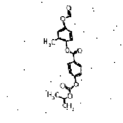 Cc1cc(OC=O)ccc1OC(=O)c1ccc(OC(=O)OC(C)C)cc1